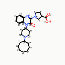 O=C(O)C1CCN(c2nc3ccccc3n(C3CCN(C4CCCCCCC4)CC3)c2=O)C1